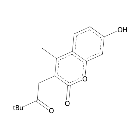 Cc1c(CC(=O)C(C)(C)C)c(=O)oc2cc(O)ccc12